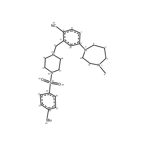 CN1CCCN(c2ccc(C#N)c(CN3CCN(S(=O)(=O)c4ccc(C(C)(C)C)cc4)CC3)c2)CC1